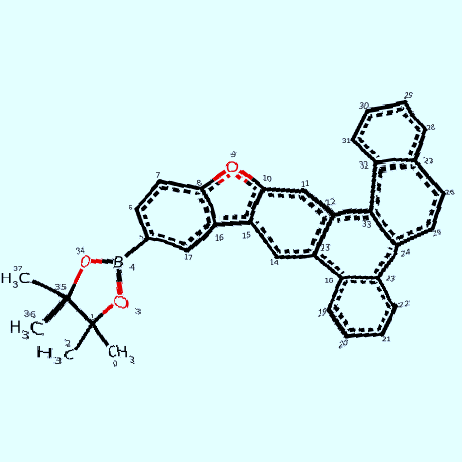 CC1(C)OB(c2ccc3oc4cc5c(cc4c3c2)c2ccccc2c2ccc3ccccc3c25)OC1(C)C